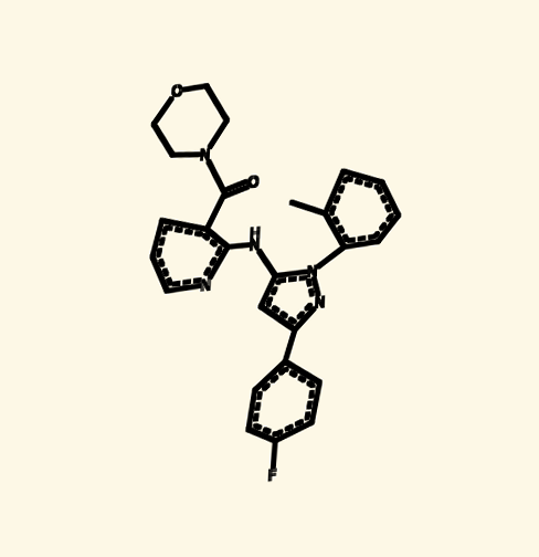 Cc1ccccc1-n1nc(-c2ccc(F)cc2)cc1Nc1ncccc1C(=O)N1CCOCC1